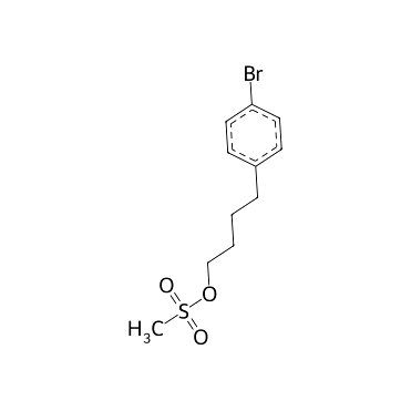 CS(=O)(=O)OCCCCc1ccc(Br)cc1